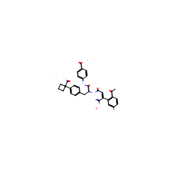 COc1nn(C(Cc2ccc(C3(C(N)=O)CCC3)cc2)C(=O)Nc2ccc(C(=O)O)cc2)c(=O)cc1-c1cc(Cl)ccc1C(C)=O